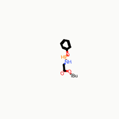 CCC(C)OC(=O)CNPOc1ccccc1